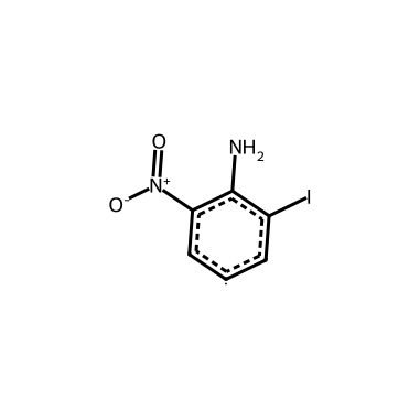 Nc1c(I)c[c]cc1[N+](=O)[O-]